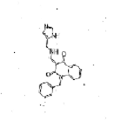 O=C1/C(=C\NCc2cnc[nH]2)C(=O)N(Cc2ccccc2)c2ccccc21